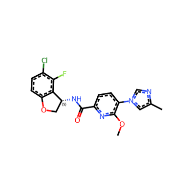 COc1nc(C(=O)N[C@@H]2COc3ccc(Cl)c(F)c32)ccc1-n1cnc(C)c1